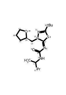 CC(C)C(C)NC(=O)N=c1sc(C(C)(C)C)nn1C[C@H]1CCCO1